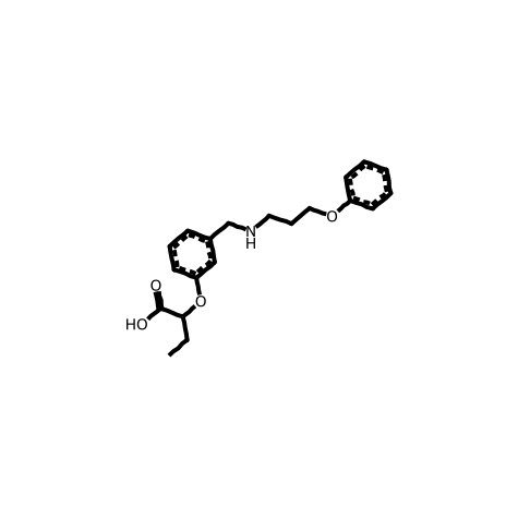 CCC(Oc1cccc(CNCCCOc2ccccc2)c1)C(=O)O